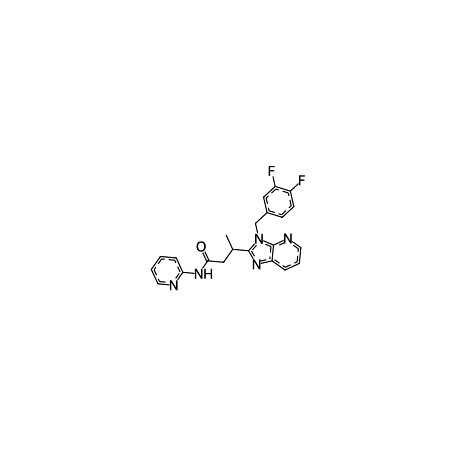 CC(CC(=O)Nc1ccccn1)c1nc2cccnc2n1Cc1ccc(F)c(F)c1